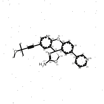 COC(C)(C)C#Cc1cnc2c(c1)[C@@]1(COC(N)=N1)c1cc(-c3cccnc3)ccc1O2